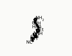 CCc1cc(Nc2nccn3c(-c4cn(CC#N)nc4C(F)(F)F)cnc23)ccc1C(=O)NCCNC(=O)N1CC[C@@H](N)C1